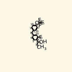 CCC(O)c1ccc(Cc2ccc(OC(F)(F)F)cc2)cc1F